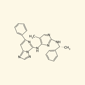 Cc1cnc(N[C@H](C)c2ccccc2)nc1Nc1nc(-c2ccccc2)cc2ncnn12